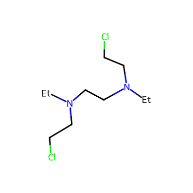 CCN(CCCl)CCN(CC)CCCl